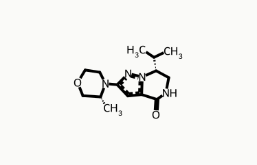 CC(C)[C@@H]1CNC(=O)c2cc(N3CCOC[C@H]3C)nn21